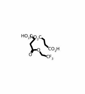 O=C(O)CCC(=O)O.O=C(O)CCC(=O)OCC(F)(F)F